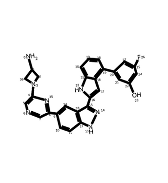 NC1CN(c2cncc(-c3ccc4[nH]nc(-c5cc6c(-c7cc(O)cc(F)c7)cccc6[nH]5)c4c3)n2)C1